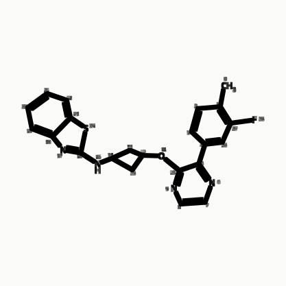 Cc1ccc(-c2nccnc2OC2CC(Nc3nc4ccccc4s3)C2)cc1F